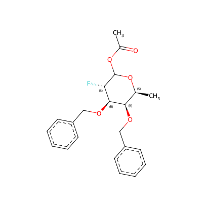 CC(=O)OC1O[C@@H](C)[C@@H](OCc2ccccc2)[C@@H](OCc2ccccc2)[C@@H]1F